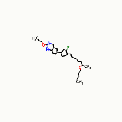 C=CCOc1ncc2cc(-c3ccc(C=CCCCC(C)OCCCCC)c(F)c3)ccc2n1